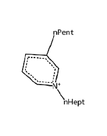 CCCCCCC[n+]1cccc(CCCCC)c1